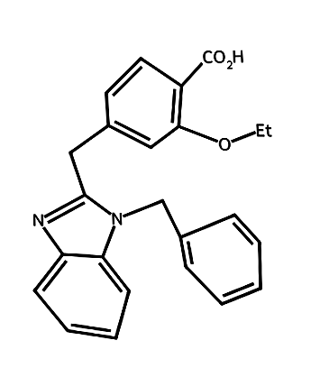 CCOc1cc(Cc2nc3ccccc3n2Cc2ccccc2)ccc1C(=O)O